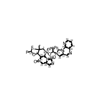 CCCC(O[N+]1(CCC)CC(C)(C)C(OC(F)F)c2c1n1cncc1c[n+]2[O-])[N+]1(O)C=C2C=Nc3cccnc3N2C1